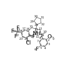 COc1ccc(F)cc1C(C)(C)CC(N)(Cc1cc(C(F)(F)F)cc(Cl)c1F)C1CCCC1